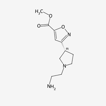 COC(=O)c1cc([C@@H]2CCN(CCN)C2)no1